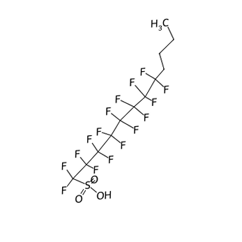 CCCCC(F)(F)C(F)(F)C(F)(F)C(F)(F)C(F)(F)C(F)(F)C(F)(F)C(F)(F)S(=O)(=O)O